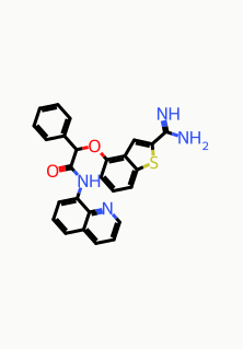 N=C(N)c1cc2c(OC(C(=O)Nc3cccc4cccnc34)c3ccccc3)cccc2s1